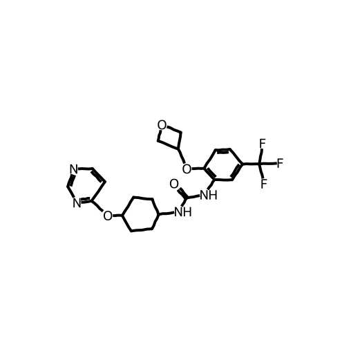 O=C(Nc1cc(C(F)(F)F)ccc1OC1COC1)NC1CCC(Oc2ccncn2)CC1